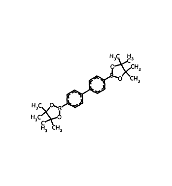 CC1(C)OB(c2ccc(-c3ccc(B4OC(C)(C)C(C)(C)O4)cc3)cc2)OC1(C)C